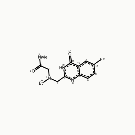 CCN(CC(=O)NC)Cc1nc2ccc(F)cc2c(=O)[nH]1